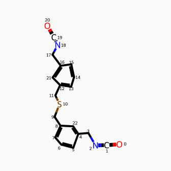 O=C=NCc1cccc(CSCc2cccc(CN=C=O)c2)c1